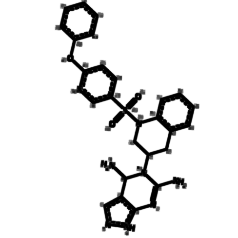 NC1=Nc2[nH]ncc2C(N)N1C1Cc2ccccc2N(S(=O)(=O)c2ccc(Oc3ccccc3)nc2)C1